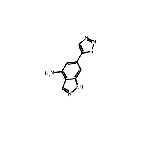 Nc1cc(-c2cnns2)cc2[nH]ncc12